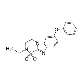 CCN1CCn2c(nc3ccc(Oc4ccccc4)cc32)S1(=O)=O